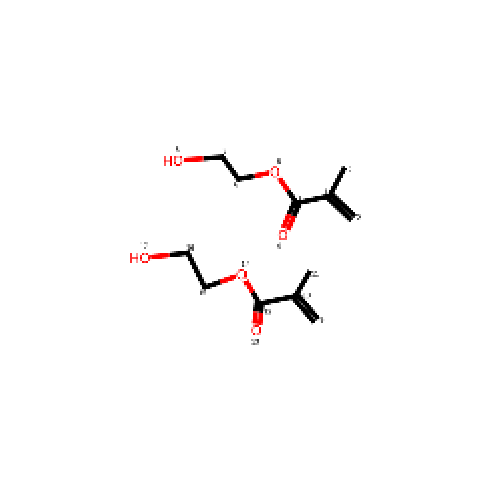 C=C(C)C(=O)OCCO.C=C(C)C(=O)OCCO